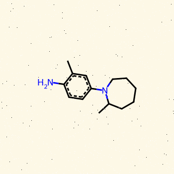 Cc1cc(N2CCCCCC2C)ccc1N